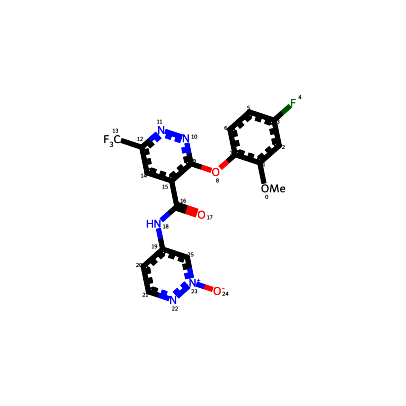 COc1cc(F)ccc1Oc1nnc(C(F)(F)F)cc1C(=O)Nc1ccn[n+]([O-])c1